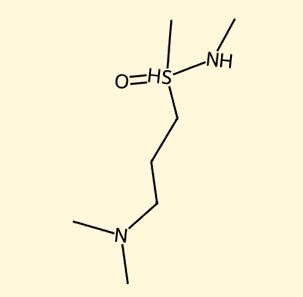 CN[SH](C)(=O)CCCN(C)C